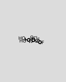 Cc1cc(C(O)CO)ccc1-n1c(C)cc(OCc2ccc(F)cc2F)c(Cl)c1=O